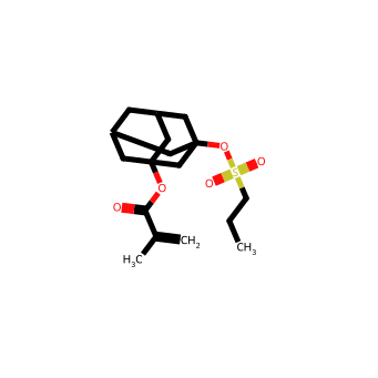 C=C(C)C(=O)OC12CC3CC(C1)CC(OS(=O)(=O)CCC)(C3)C2